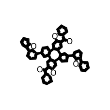 O=c1c2ccccc2oc2cc3c(cc12)-c1cc(-c2cccc4c2oc2ccccc24)ccc1-c1cc2oc4ccccc4c(=O)c2cc1-c1cc(-c2cccc4c2oc2ccccc24)ccc1-3